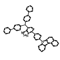 c1ccc(-c2ccc(C(c3ccc(-c4ccccc4)cc3)c3ccc(-c4ccc(-n5c6ccccc6c6c7ccccc7ccc65)cc4)c4nsnc34)cc2)cc1